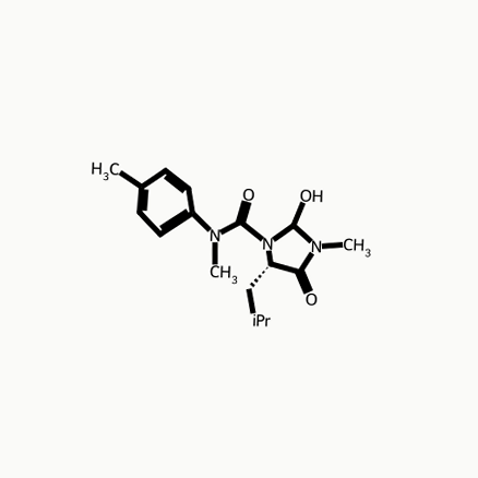 Cc1ccc(N(C)C(=O)N2C(O)N(C)C(=O)[C@@H]2CC(C)C)cc1